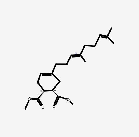 COC(=O)[C@H]1CC=C(CC/C=C(\C)CCC=C(C)C)C[C@@H]1C(=O)OC